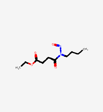 CCCCN(N=O)C(=O)CCC(=O)OCC